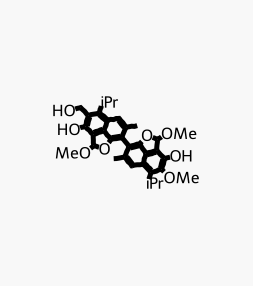 COc1c(O)c2c3c(c(-c4c(C)cc5c(C(C)C)c(CO)c(O)c6c5c4OC6OC)c(C)cc3c1C(C)C)OC2OC